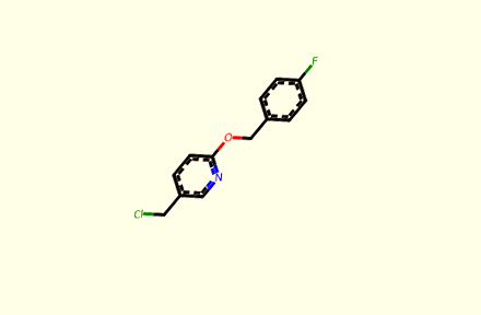 Fc1ccc(COc2ccc(CCl)cn2)cc1